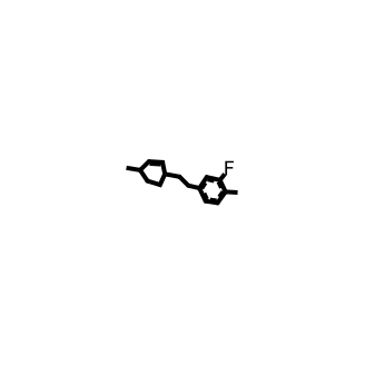 Cc1ccc(CCC2C=CC(C)CC2)cc1F